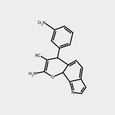 N#CC1=C(N)OC2C(=CC=C3C=CN=C32)C1c1cccc([N+](=O)[O-])c1